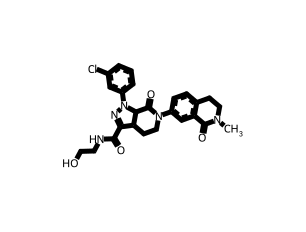 CN1CCc2ccc(N3CCC4C(C(=O)NCCO)=NN(c5cccc(Cl)c5)C4C3=O)cc2C1=O